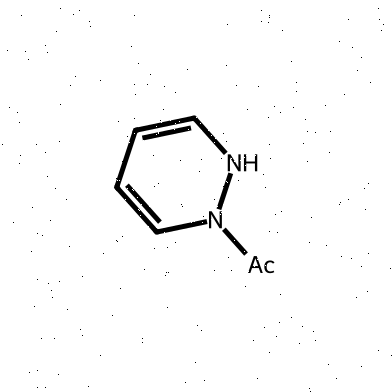 CC(=O)N1C=CC=CN1